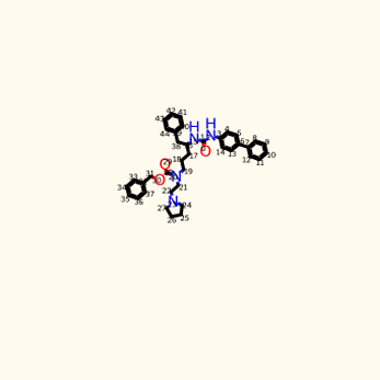 O=C(Nc1ccc(-c2ccccc2)cc1)NC(CCCN(CCN1CCCC1)C(=O)OCc1ccccc1)Cc1ccccc1